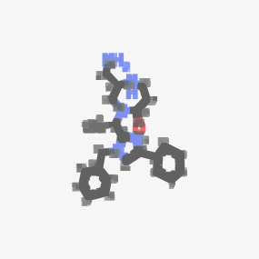 CC(C)(C)[C@H](c1nc(-c2ccccc2)cn1Cc1ccccc1)N1C[C@@H](CN)NCCC1=O